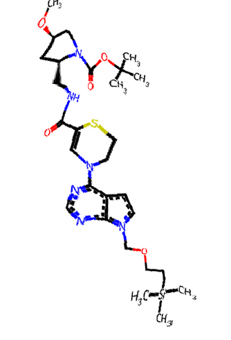 CO[C@@H]1C[C@H](CNC(=O)C2=CN(c3ncnc4c3ccn4COCC[Si](C)(C)C)CCS2)N(C(=O)OC(C)(C)C)C1